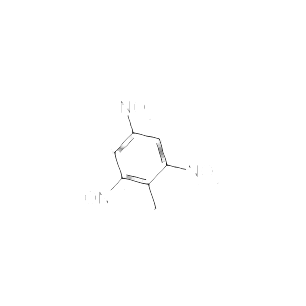 Cc1c(N=O)cc([N+](=O)[O-])cc1[N+](=O)[O-]